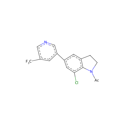 CC(=O)N1CCc2cc(-c3cncc(C(F)(F)F)c3)cc(Cl)c21